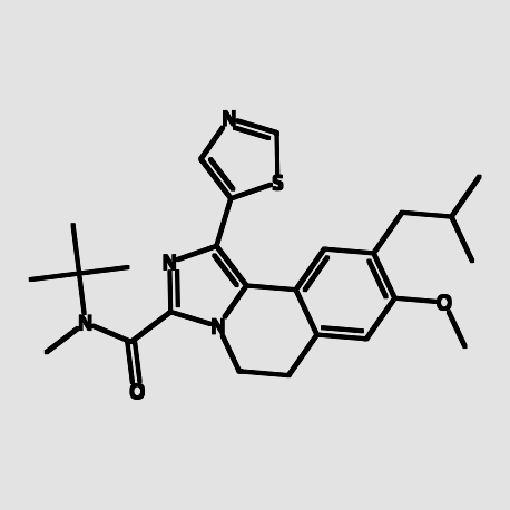 COc1cc2c(cc1CC(C)C)-c1c(-c3cncs3)nc(C(=O)N(C)C(C)(C)C)n1CC2